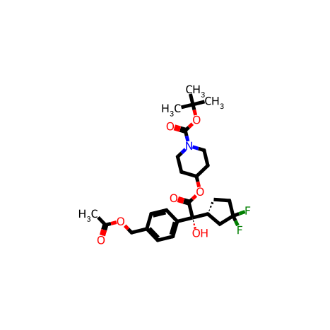 CC(=O)OCc1ccc([C@@](O)(C(=O)OC2CCN(C(=O)OC(C)(C)C)CC2)[C@@H]2CCC(F)(F)C2)cc1